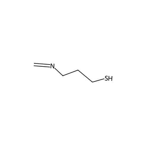 C=NCCCS